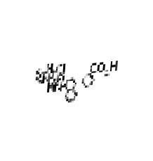 O=C(O)c1cccc(-c2ccc(NS(=O)(=O)c3c(Cl)nc4sccn34)c3ccccc23)c1